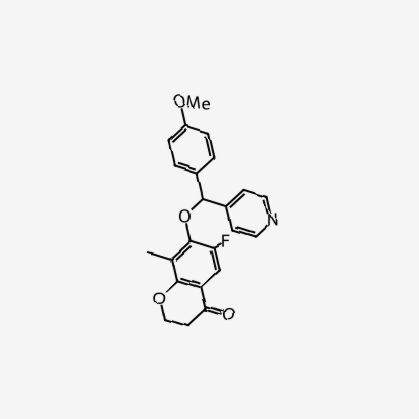 COc1ccc(C(Oc2c(F)cc3c(c2C)OCCC3=O)c2ccncc2)cc1